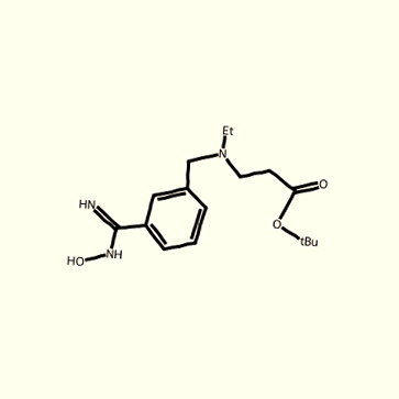 CCN(CCC(=O)OC(C)(C)C)Cc1cccc(C(=N)NO)c1